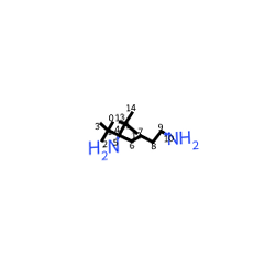 CC(C)(C)C(N)(CCCCN)C(C)(C)C